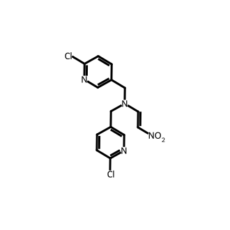 O=[N+]([O-])C=CN(Cc1ccc(Cl)nc1)Cc1ccc(Cl)nc1